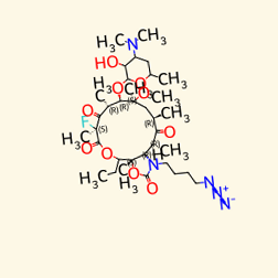 CCC1OC(=O)[C@@](C)(F)C(=O)[C@H](C)[C@@H](OC2OC(C)CC(N(C)C)C2O)[C@@](C)(OC)C[C@@H](C)C(=O)[C@H](C)[C@H]2N(CCCCN=[N+]=[N-])C(=O)O[C@]12C